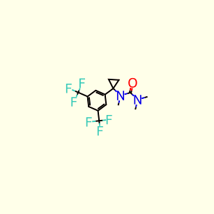 CN(C)C(=O)N(C)C1(c2cc(C(F)(F)F)cc(C(F)(F)F)c2)CC1